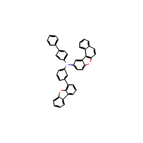 c1ccc(-c2ccc(N(c3cccc(-c4cccc5c4oc4ccccc45)c3)c3ccc4oc5ccc6ccccc6c5c4c3)cc2)cc1